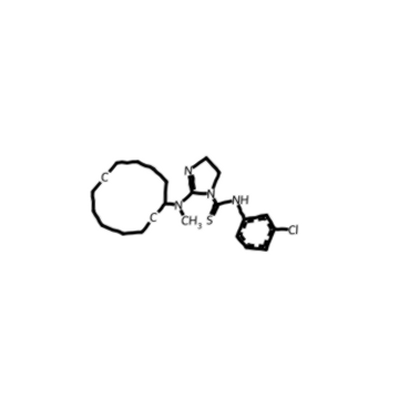 CN(C1=NCCN1C(=S)Nc1cccc(Cl)c1)C1CCCCCCCCCCC1